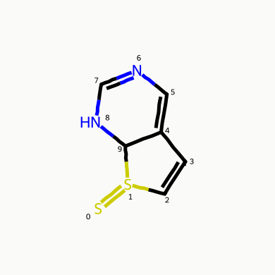 S=S1C=[C]C2=CN=CNC21